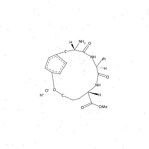 COC(=O)[C@@H]1CCCOc2ccc(cc2)C[C@H](N)C(=O)N[C@@H](C(C)C)C(=O)N1.[Cl-].[H+]